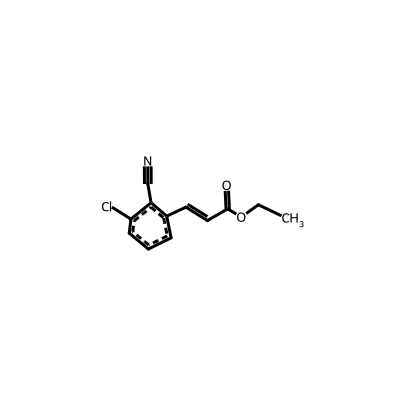 CCOC(=O)C=Cc1cccc(Cl)c1C#N